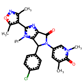 Cc1noc(C)c1-c1nc2c(n1C(C)C)C(c1ccc(Cl)cc1)N(c1cc(C)c(=O)n(C)c1)C2=O